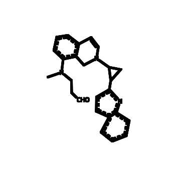 CN(CCC=O)c1cccc2c1CN(C1CC1c1ccc3ccccc3n1)C=C2